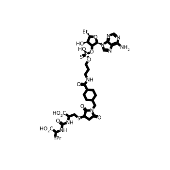 CCCC(NC(=O)NC(CSC1CC(=O)N(CC2CCC(C(=O)NCCCOP(O)(=S)OC3[C@@H](O)[C@@H](CC)O[C@H]3n3cnc4c(N)ncnc43)CC2)C1=O)C(=O)O)C(=O)O